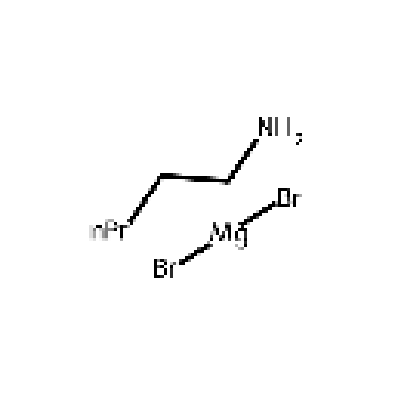 CCCCCN.[Br][Mg][Br]